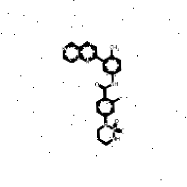 Cc1ccc(NC(=O)c2ccc(N3CCCNS3(=O)=O)cc2F)cc1-c1ccc2cnccc2n1